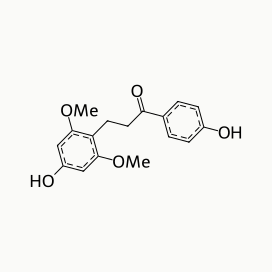 COc1cc(O)cc(OC)c1CCC(=O)c1ccc(O)cc1